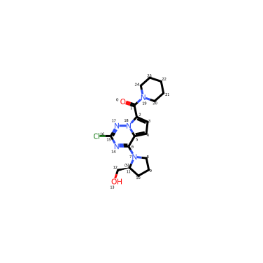 O=C(c1ccc2c(N3CCC[C@H]3CO)nc(Cl)nn12)N1CCCCC1